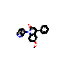 COc1ccc2c(c1)c(-c1ccccc1)cc(=O)n2C1C2=CC=NC1=C2